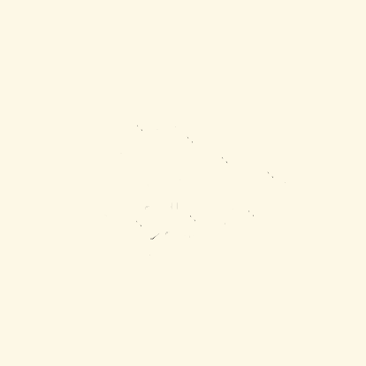 CNCC(=O)N[C@H](C)[C@H]1C(=O)N2C(C(=O)O)=C(S[C@@H]3CN[C@H](C(=O)N4CCN(CCN)CC4)C3)[C@H](C)[C@@H]12